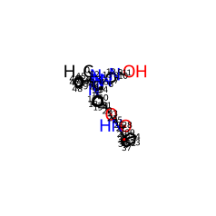 Cc1nn2c(N3CCN(CCO)CC3)cc(-c3cccc(CCOCCNC(=O)CC45CC6CC(CC(C6)C4)C5)c3)nc2c1-c1ccccc1